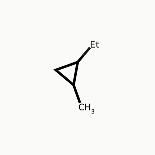 CCC1CC1C